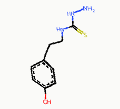 NNC(=S)NCCc1ccc(O)cc1